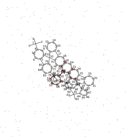 CC(C)(C)c1ccc2c(c1)C1(c3ccccc3-c3ccc(N(c4ccc5c(c4)C4(c6ccccc6-5)c5ccccc5C(C)(C)c5ccccc54)c4ccccc4-c4ccccc4-c4ccccc4-c4ccccc4)cc31)c1cc(C(C)(C)C)ccc1-2